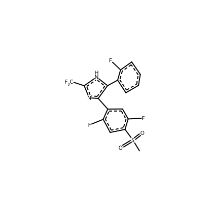 CS(=O)(=O)c1cc(F)c(-c2nc(C(F)(F)F)[nH]c2-c2ccccc2F)cc1F